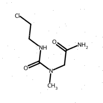 CN(CC(N)=O)C(=O)NCCCl